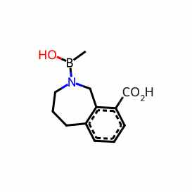 CB(O)N1CCCc2cccc(C(=O)O)c2C1